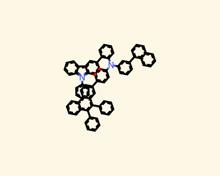 c1ccc(-c2c(-c3ccccc3)c3cc(-c4ccc(N(c5cccc(-c6cccc7ccccc67)c5)c5ccccc5-c5ccc6c(c5)c5ccccc5n6-c5ccccc5)cc4)ccc3c3ccccc23)cc1